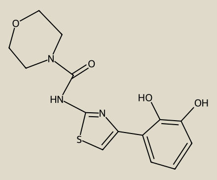 O=C(Nc1nc(-c2cccc(O)c2O)cs1)N1CCOCC1